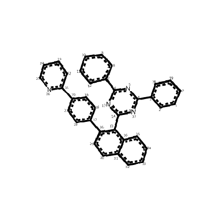 c1ccc(-c2nc(-c3ccccc3)nc(-c3c(-c4ccc(-c5ccccn5)cc4)ccc4ccccc34)n2)cc1